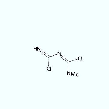 CN/C(Cl)=N\C(=N)Cl